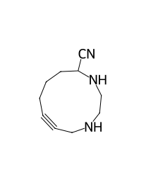 N#CC1CCCC#CCNCCN1